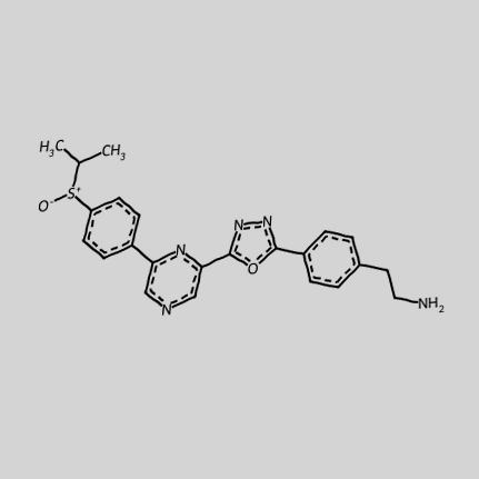 CC(C)[S+]([O-])c1ccc(-c2cncc(-c3nnc(-c4ccc(CCN)cc4)o3)n2)cc1